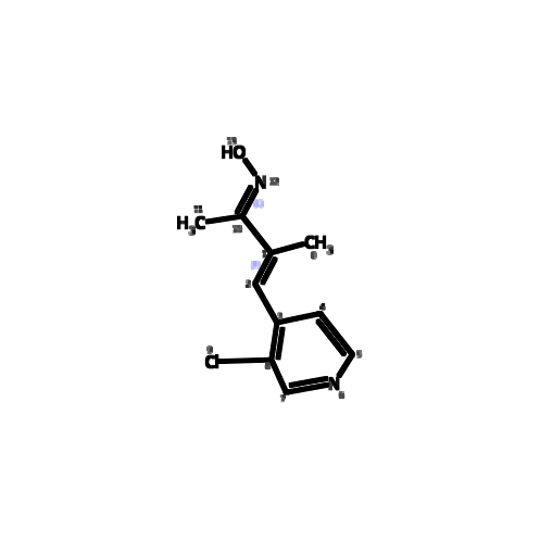 CC(=C\c1ccncc1Cl)/C(C)=N/O